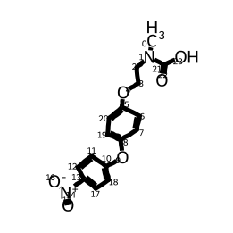 CN(CCOc1ccc(Oc2ccc([N+](=O)[O-])cc2)cc1)C(=O)O